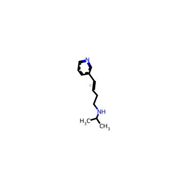 CC(C)NCC/C=C/c1cccnc1